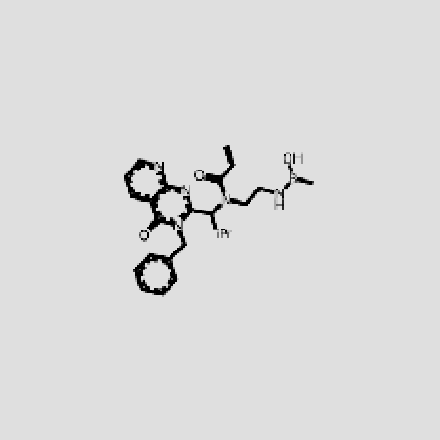 C=CC(=O)N(CCNB(C)O)C(c1nc2ncccc2c(=O)n1Cc1ccccc1)C(C)C